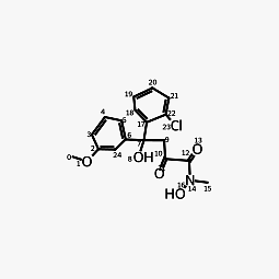 COc1cccc(C(O)(CC(=O)C(=O)N(C)O)c2ccccc2Cl)c1